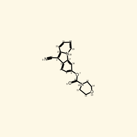 N#Cc1c2ccc(OC(=O)N3CCOCC3)cc2n2ccccc12